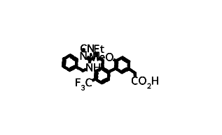 CCN(Cc1cc(C(F)(F)F)ccc1-c1cc(CC(=O)O)ccc1OC)/C(=N\C#N)NCc1ccccc1